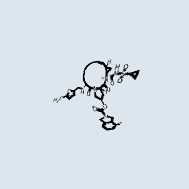 Cc1ccc(CN[C@H]2CCCCC/C=C\[C@@H]3C[C@@]3(C(=O)NS(=O)(=O)C3CC3)NC(=O)[C@@H]3C[C@@H](OC(=O)N4Cc5cccc(F)c5C4)CN3C2=O)o1